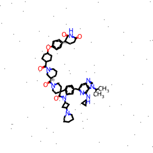 CC(C)n1cnc2cc(-c3ccc4c(c3)N(C3CC(N5CCCCC5)C3)C(=O)C43CCN(C(=O)[C@@H]4CCCN(C(=O)C5CCC(Oc6ccc([C@H]7CCC(=O)NC7=O)cc6)CC5)C4)CC3)nc(NC3CC3)c21